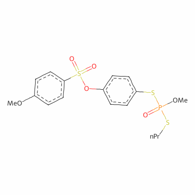 CCCSP(=O)(OC)Sc1ccc(OS(=O)(=O)c2ccc(OC)cc2)cc1